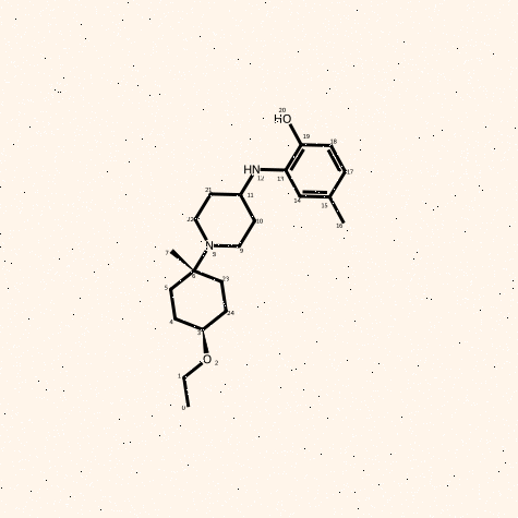 CCO[C@H]1CC[C@](C)(N2CCC(Nc3cc(C)ccc3O)CC2)CC1